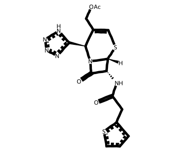 CC(=O)OCC1=CS[C@@H]2[C@H](NC(=O)Cc3cccs3)C(=O)N2[C@H]1c1nnn[nH]1